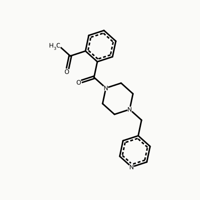 CC(=O)c1ccccc1C(=O)N1CCN(Cc2ccncc2)CC1